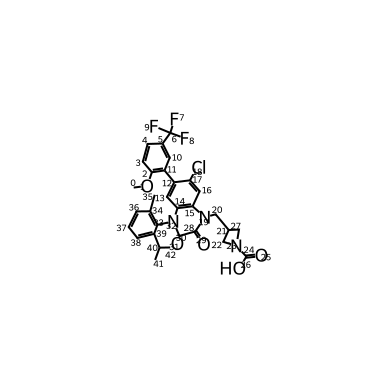 COc1ccc(C(F)(F)F)cc1-c1cc2c(cc1Cl)n(CC1CN(C(=O)O)C1)c(=O)c(=O)n2-c1c(C)cccc1C(C)C